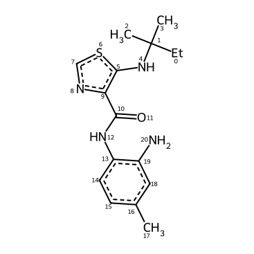 CCC(C)(C)Nc1scnc1C(=O)Nc1ccc(C)cc1N